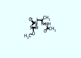 COc1nn(CC(C)=NNC(C)=O)c(=O)s1